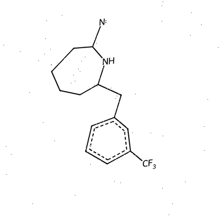 [N]C1CCCCC(Cc2cccc(C(F)(F)F)c2)N1